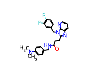 CN(C)c1ccc(CNC(=O)CCc2nc3cccnc3n2Cc2ccc(F)c(F)c2)cc1